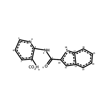 O=C(Nc1ncccc1C(=O)O)c1cc2ccccc2s1